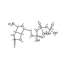 BC1OC(COP(=O)(S)OP(=O)(O)OP(=O)(O)O)C2OC(=S)OC12